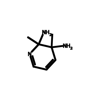 CC1(N)C=CC=NC1(C)N